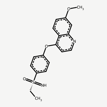 CC[S@](=N)(=O)c1ccc(Oc2ccnc3cc(OC)ccc23)cc1